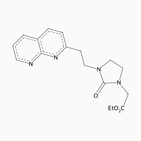 CCOC(=O)CN1CCN(CCc2ccc3cccnc3n2)C1=O